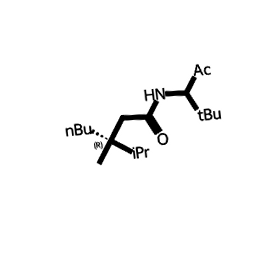 CCCC[C@](C)(CC(=O)NC(C(C)=O)C(C)(C)C)C(C)C